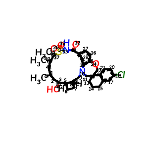 C[C@H]1C[C@@H](O)[C@@H]2CC[C@H]2CN2C[C@@]3(CCCc4cc(Cl)ccc43)COc3ccc(cc32)C(=O)NS(=O)(=O)[C@H](C)[C@@H](C)C1